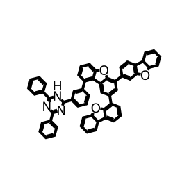 C1=CC2Oc3cc(-c4cc(-c5cccc6c5OC5C=CC=CC65)cc5c4oc4cccc(-c6cccc(C7N=C(c8ccccc8)N=C(c8ccccc8)N7)c6)c45)ccc3C2C=C1